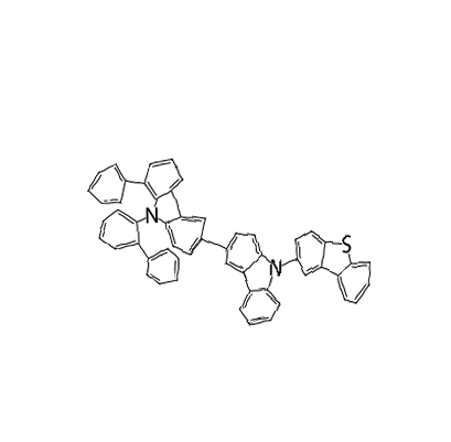 c1ccc(-c2ccccc2-n2c3ccc(-c4ccc5c(c4)c4ccccc4n5-c4ccc5sc6ccccc6c5c4)cc3c3cccc(-c4ccccc4)c32)cc1